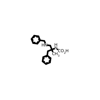 CC(CNCc1ccccc1)(Cc1ccccc1)NC(=O)O